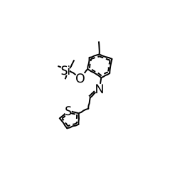 Cc1ccc(N=CCc2cccs2)c(O[Si](C)(C)C)c1